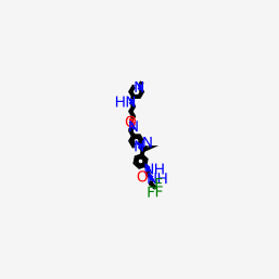 CN1CCC(NCCCON=Cc2ccn3c(-c4cccc(NC(=O)NCC(F)(F)F)c4)cnc3c2)CC1